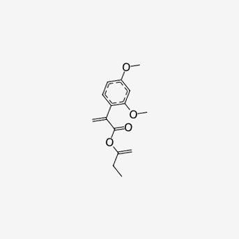 C=C(CC)OC(=O)C(=C)c1ccc(OC)cc1OC